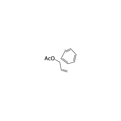 C=CCOC(C)=O.[c]1ccccc1